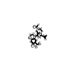 CC(=O)N1CCn2c(C3CC3)nc(N3CCOc4cc(Cl)c(C(F)F)cc43)c2C1